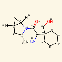 N#C[C@@H]1C[C@@H]2C[C@@H]2N1C(=O)C(N)C1(CO)CCCCC1